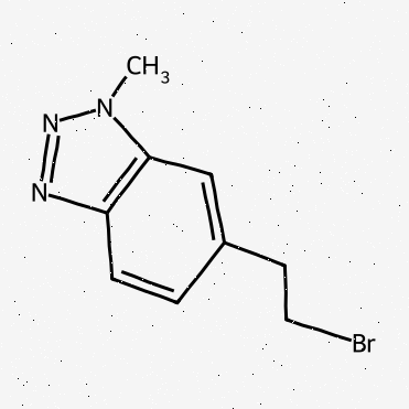 Cn1nnc2ccc(CCBr)cc21